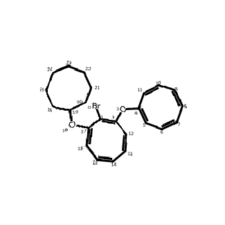 BrC1=C(OC2=C/C=C\C=C/C=C\2)/C=C\C=C/C=C\1OC1CCCCCCC1